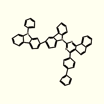 c1ccc(-c2ccc(-c3nc(-n4c5ccccc5c5cc(-c6ccc7c8ccccc8n(-c8ccccc8)c7c6)ccc54)nc4c3ccc3ccccc34)cc2)cc1